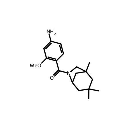 COc1cc(N)ccc1C(=O)N1CC2(C)CC1CC(C)(C)C2